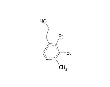 CCc1c(C)ccc(CCO)c1CC